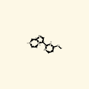 CSc1ccnc(-c2cnc3cnccn23)n1